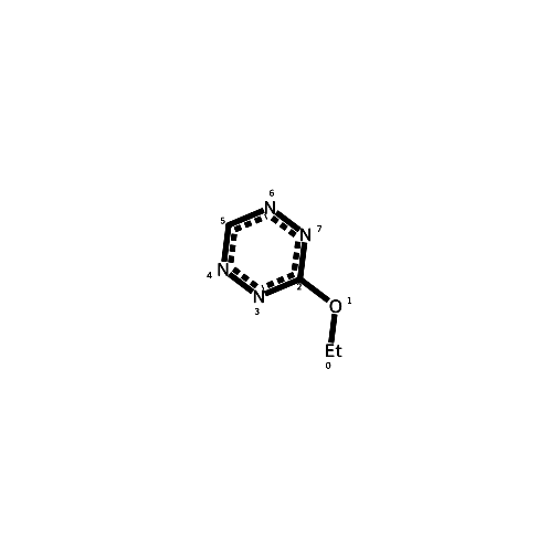 CCOc1nncnn1